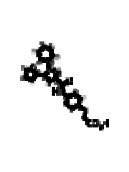 O=C(O)CCc1ccc(NC(=O)c2cc(-c3ccco3)n(-c3ccccc3)n2)cc1